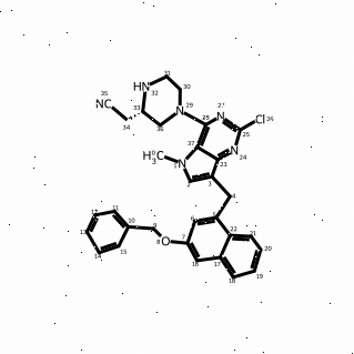 Cn1cc(Cc2cc(OCc3ccccc3)cc3ccccc23)c2nc(Cl)nc(N3CCN[C@@H](CC#N)C3)c21